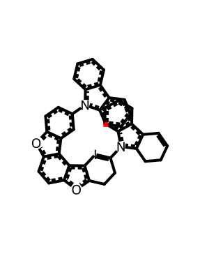 C1=Cc2c(n(C3=Ic4c(oc5ccc6oc7ccc(-n8c9ccccc9c9ccccc98)cc7c6c45)CC3)c3ccccc23)CC1